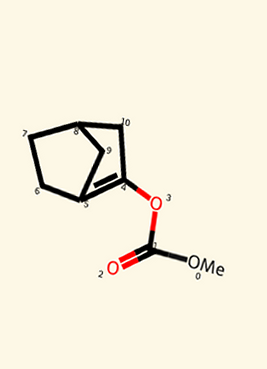 COC(=O)OC1=C2CCC(C2)C1